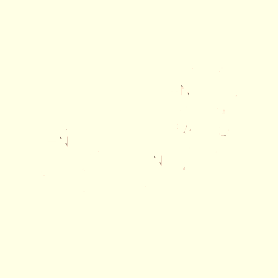 C1=C(c2c[nH]c3ccccc23)CCN(CC2COc3cccnc3O2)C1